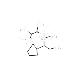 N#CCC(NN)C1CCCC1.O=C(O)C(O)C(O)C(=O)O